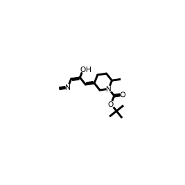 C=N/C=C(O)\C=C1/CCC(C)N(C(=O)OC(C)(C)C)C1